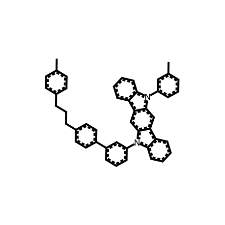 Cc1ccc(CCCc2ccc(-c3cccc(-n4c5ccccc5c5cc6c(cc54)c4ccccc4n6-c4cccc(C)c4)c3)cc2)cc1